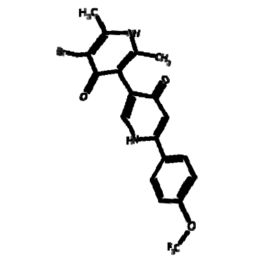 Cc1[nH]c(C)c(-c2c[nH]c(-c3ccc(OC(F)(F)F)cc3)cc2=O)c(=O)c1Br